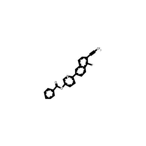 O=C(Oc1ccc(-c2ccc3c(F)c(C#CC(F)(F)F)ccc3c2)nc1)c1ccccc1